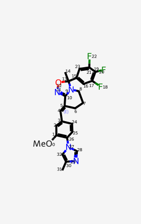 COc1cc(/C=C2\CCCN3C2=NOC3(C)c2cc(F)c(F)c(F)c2)ccc1-n1cnc(C)c1